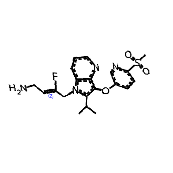 CC(C)c1c(Oc2ccc(S(C)(=O)=O)nc2)c2ncccc2n1C/C(F)=C/CN